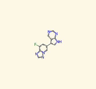 Fc1cc(-c2c[nH]c3ncncc23)cn2ncnc12